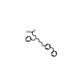 O=C(O)CCN(CCCOc1ccc(Cc2ccccc2)cc1)Cc1cccnc1